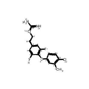 Cc1cc(Oc2c(F)cc(CCOC(=N)N)cc2F)ccc1Cl